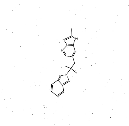 Cc1nc2ncc(CC(C)(C)n3nc4ccncc4n3)nc2[nH]1